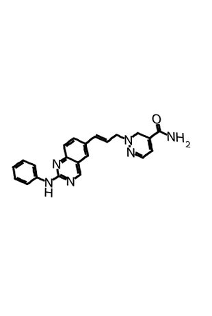 NC(=O)C1=CC=NN(CC=Cc2ccc3nc(Nc4ccccc4)ncc3c2)C1